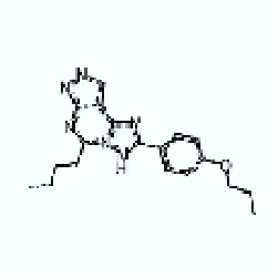 CCCCc1nc2nncc-2c2nc(-c3ccc(OCCC)cc3)[nH]n12